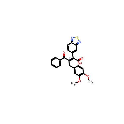 COc1ccc(C/C(C(=O)c2ccccc2)=C(\C(=O)O)c2ccc3nsnc3c2)cc1OC